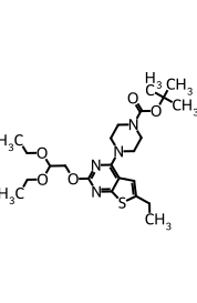 CCOC(COc1nc(N2CCN(C(=O)OC(C)(C)C)CC2)c2cc(CC)sc2n1)OCC